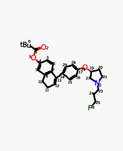 CC(C)(C)C(=O)Oc1ccc2c(c1)CCC=C2c1ccc(O[C@H]2CCN(CCCF)C2)cc1